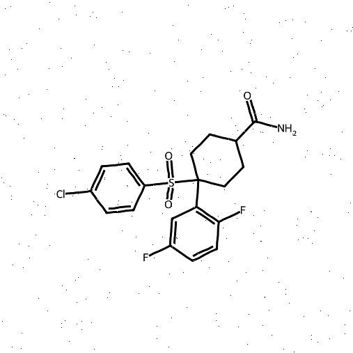 NC(=O)C1CCC(c2cc(F)ccc2F)(S(=O)(=O)c2ccc(Cl)cc2)CC1